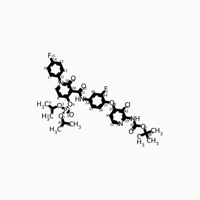 CC(C)OP(=O)(Oc1ccn(-c2ccc(F)cc2)c(=O)c1C(=O)Nc1ccc(Oc2ccnc(NC(=O)OC(C)(C)C)c2Cl)c(F)c1)OC(C)C